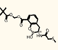 CSCC(=O)N[C@H]1Cc2cccc(C(=O)OCOC(=O)C(C)(C)C)c2OB1O